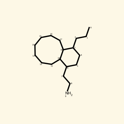 CCCC1CCC(CCN)C2CCCCCCCC12